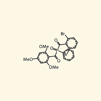 COc1cc(OC)c(C(=O)P(=O)(C(=O)c2c(Br)cccc2Br)c2ccccc2)c(OC)c1